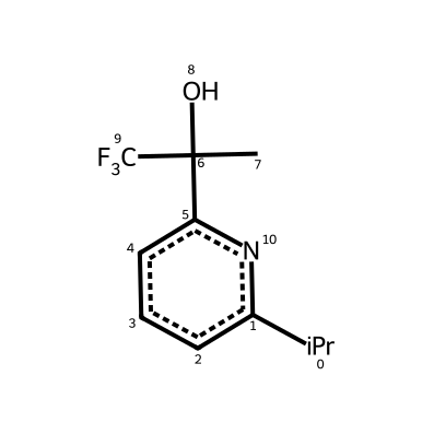 CC(C)c1cccc(C(C)(O)C(F)(F)F)n1